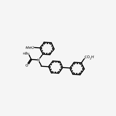 CCCCC(=O)N(Cc1ccc(-c2cccc(C(=O)O)c2)cc1)c1ccccc1OC